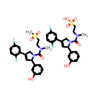 CN(CCS(=O)(=O)O)C(=O)N1CC(c2cc(F)ccc2F)=CC1c1cccc(O)c1.CN(CCS(C)(=O)=O)C(=O)N1CC(c2cc(F)ccc2F)=CC1c1cccc(O)c1